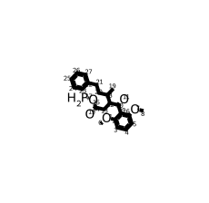 COc1cccc(OC)c1C(=O)C(CC(=O)OP)C(C)CCc1ccccc1